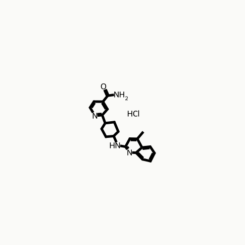 Cc1cc(NC2CCC(c3cc(C(N)=O)ccn3)CC2)nc2ccccc12.Cl